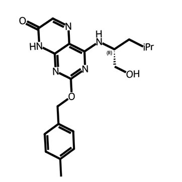 Cc1ccc(COc2nc(N[C@@H](CO)CC(C)C)c3ncc(=O)[nH]c3n2)cc1